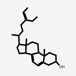 C/C=C(\CC)CCC(C)C1CCC2C3=CC=C4CC(O)CCC4(C)C3CCC21C